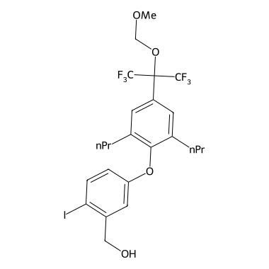 CCCc1cc(C(OCOC)(C(F)(F)F)C(F)(F)F)cc(CCC)c1Oc1ccc(I)c(CO)c1